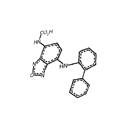 O=C(O)Nc1ccc(Nc2ccccc2-c2ccccc2)c2nonc12